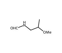 COC(C)CNC=O